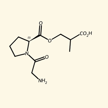 CC(COC(=O)[C@@H]1CCCN1C(=O)CN)C(=O)O